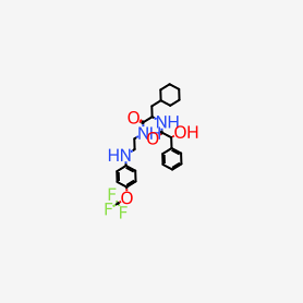 O=C(NCCNc1ccc(OC(F)(F)F)cc1)C(CC1CCCCC1)NC(=O)[C@@H](O)c1ccccc1